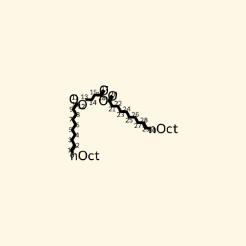 CCCCCCCCC=CCCCCCCCC(=O)OCCCC(=O)OC(=O)CCCCCCCC=CCCCCCCCC